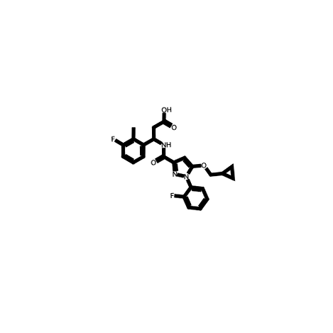 Cc1c(F)cccc1C(CC(=O)O)NC(=O)c1cc(OCC2CC2)n(-c2ccccc2F)n1